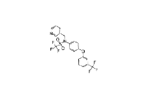 O=S(=O)(N(Cc1cccnc1)c1ccc(Oc2cccc(C(F)(F)F)c2)cc1)C(F)(F)F